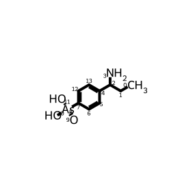 CCC(N)c1ccc([As](=O)(O)O)cc1